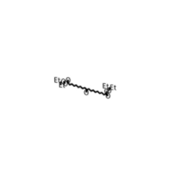 CCC(CC)OOC(=O)CCCCCCCCC(=O)CCCCCCCCC(=O)OOC(CC)CC